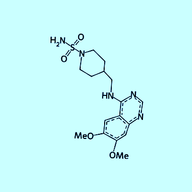 COc1cc2ncnc(NCC3CCN(S(N)(=O)=O)CC3)c2cc1OC